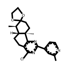 Cc1cc(-c2nc(Cl)c3c(n2)[C@]2(C)CCC4(OCCO4)[C@H](C)[C@H]2CC3)ccn1